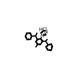 Cc1cc(C(C)c2ccccc2)c(-n2ccnc2)c(C(C)c2ccccc2)c1.Cl